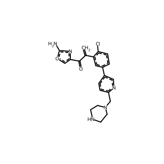 C=C(C(=O)c1coc(N)n1)c1cc(-c2ccc(CN3CCNCC3)nc2)ccc1Cl